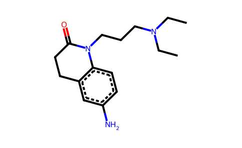 CCN(CC)CCCN1C(=O)CCc2cc(N)ccc21